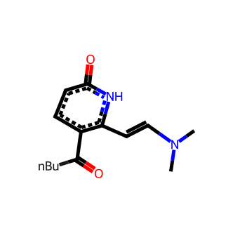 CCCCC(=O)c1ccc(=O)[nH]c1C=CN(C)C